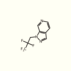 FC(F)(F)C(F)(F)Cn1ncc2ccncc21